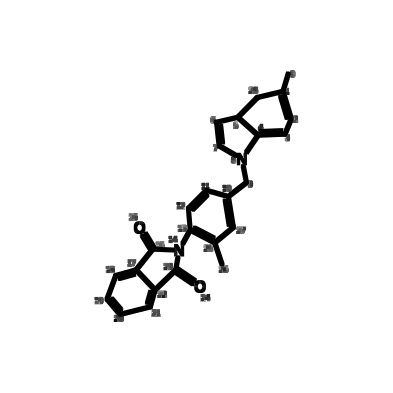 CC1=CC=C2C(C=CN2Cc2ccc(N3C(=O)c4ccccc4C3=O)c(C)c2)C1